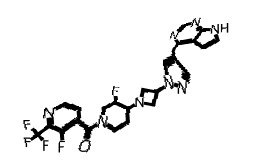 O=C(c1ccnc(C(F)(F)F)c1F)N1CCC(N2CC(n3cc(-c4ncnc5[nH]ccc45)cn3)C2)C(F)C1